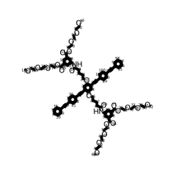 COCCOCCOCCOC(=O)c1cc(NC(=O)CCCCOc2cc(C#Cc3ccc(C#Cc4ccccc4)cc3)c(OCCCCC(=O)Nc3cc(C(=O)OCCOCCOCCOC)cc(C(=O)OCCOCCOCCOC)c3)cc2C#Cc2ccc(C#Cc3ccccc3)cc2)cc(C(=O)OCCOCCOCCOC)c1